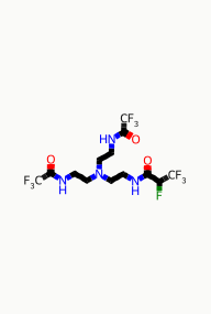 O=C(NCCN(CCNC(=O)C(F)(F)F)CCNC(=O)C(F)(F)F)C(F)C(F)(F)F